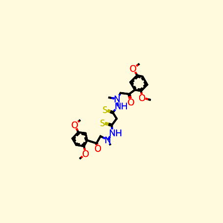 COc1ccc(OC)c(C(=O)CN(C)NC(=S)CC(=S)NN(C)CC(=O)c2cc(OC)ccc2OC)c1